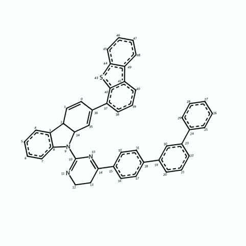 C1=CC2c3ccccc3N(C3=NCCC(c4ccc(-c5cccc(-c6ccccc6)c5)cc4)=N3)C2C=C1c1cccc2c1sc1ccccc12